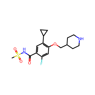 CS(=O)(=O)NC(=O)c1cc(C2CC2)c(OCC2CCNCC2)cc1F